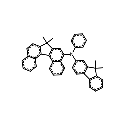 CC1(C)c2ccccc2-c2ccc(N(c3ccccc3)c3cc4c(c5ccccc35)-c3c(ccc5ccccc35)C4(C)C)cc21